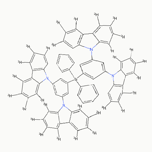 [2H]c1cc2c(c([2H])c1[2H])c1c([2H])c([2H])c([2H])c([2H])c1n2-c1cc(-n2c3cc([2H])c([2H])c([2H])c3c3c([2H])c([2H])c([2H])c([2H])c32)cc([Si](c2ccccc2)(c2ccccc2)c2cc(-n3c4cc([2H])c([2H])c([2H])c4c4c([2H])c([2H])c([2H])c([2H])c43)cc(-n3c4c([2H])c([2H])c([2H])c([2H])c4c4c([2H])c([2H])c([2H])c([2H])c43)c2)c1